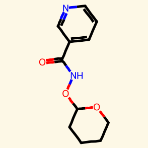 O=C(NOC1CCCCO1)c1cccnc1